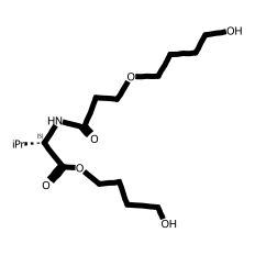 CC(C)[C@H](NC(=O)CCOCCCCO)C(=O)OCCCCO